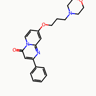 O=c1cc(-c2ccccc2)nc2cc(OCCCN3CCOCC3)ccn12